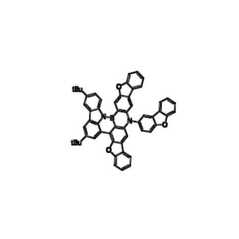 CC(C)(C)c1ccc2c(c1)c1cc(C(C)(C)C)cc3c1n2B1c2cc4oc5ccccc5c4cc2N(c2ccc4oc5ccccc5c4c2)c2cc4c(oc5ccccc54)c-3c21